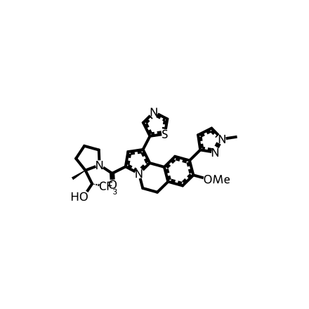 COc1cc2c(cc1-c1ccn(C)n1)-c1c(-c3cncs3)cc(C(=O)N3CCC[C@@]3(C)[C@@H](O)C(F)(F)F)n1CC2